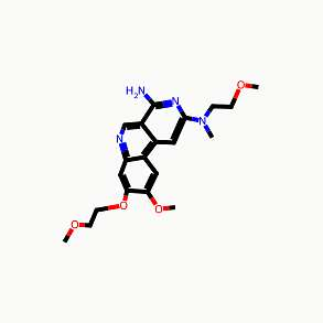 COCCOc1cc2ncc3c(N)nc(N(C)CCOC)cc3c2cc1OC